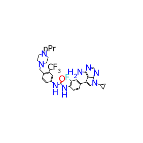 CCCN1CCN(Cc2ccc(NC(=O)Nc3ccc(-c4cn(C5CC5)c5ncnc(N)c45)cc3F)cc2C(F)(F)F)CC1